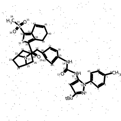 Cc1ccc(-n2nc(C(C)(C)C)cc2NC(=O)Nc2ccc(CC3CC4CCC(C3)N4C(=O)c3sc(S(C)(=O)=O)c4c3CCC=C4)cc2)cc1